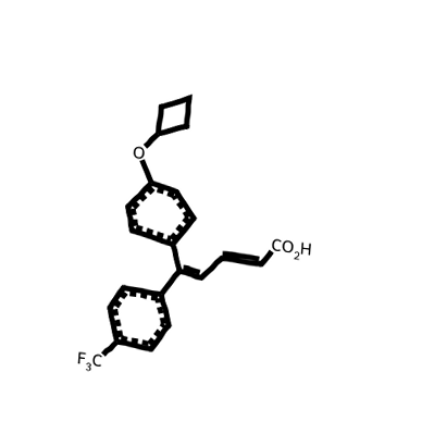 O=C(O)/C=C/C=C(\c1ccc(OC2CCC2)cc1)c1ccc(C(F)(F)F)cc1